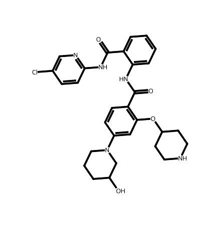 O=C(Nc1ccc(Cl)cn1)c1ccccc1NC(=O)c1ccc(N2CCCC(O)C2)cc1OC1CCNCC1